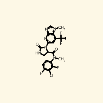 CN(C(=O)C1CNC(=O)N1c1cc(C(F)(F)F)c2c(ncn2C)n1)c1ccc(F)c(Cl)c1F